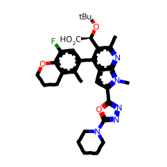 Cc1nc2c(cc(-c3nnc(N4CCCCC4)o3)n2C)c(-c2cc(F)c3c(c2C)CCCO3)c1[C@H](OC(C)(C)C)C(=O)O